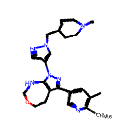 COc1ncc(-c2nn(-c3cnn(CC4CCN(C)CC4)c3)c3c2CCOCN3)cc1C